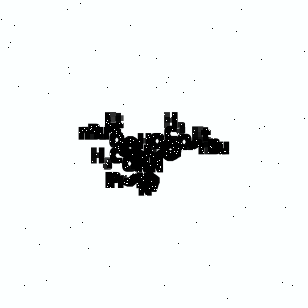 CCCCC(CC)COc1ccc(-c2nc(-c3ccc(OCC(CC)CCCC)c(C)c3O)nc(-c3ccnn3CCC(C)C)n2)c(O)c1C